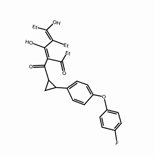 CCC(=O)/C(C(=O)C1CC1c1ccc(Oc2ccc(F)cc2)cc1)=C(O)\C(CC)=C(\O)CC